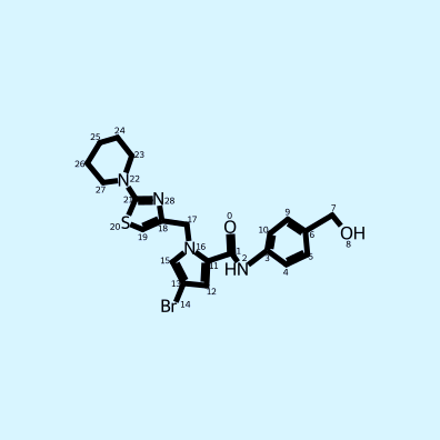 O=C(Nc1ccc(CO)cc1)c1cc(Br)cn1Cc1csc(N2CCCCC2)n1